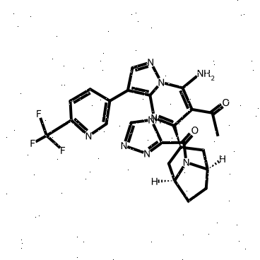 CC(=O)c1c([C@H]2C[C@H]3CC[C@@H](C2)N3C(=O)c2nnc[nH]2)nc2c(-c3ccc(C(F)(F)F)nc3)cnn2c1N